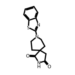 O=C1CC2(CCN(c3nc4ccccc4s3)CC2)C(=O)N1